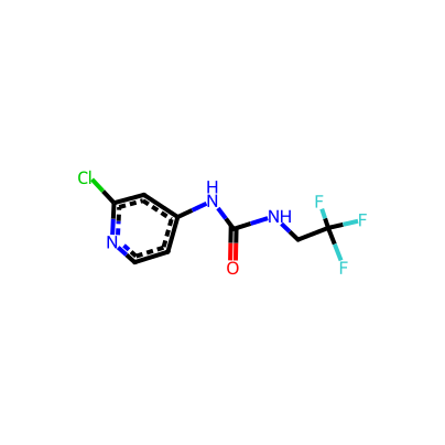 O=C(NCC(F)(F)F)Nc1ccnc(Cl)c1